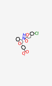 COC(=O)c1ccc([C@H]2C[C@@H](NC(=O)[C@]3(C)CCc4cc(Cl)ccc4O3)c3ccccc3O2)cc1